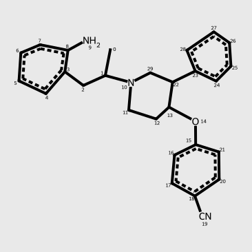 CC(Cc1ccccc1N)N1CCC(Oc2ccc(C#N)cc2)C(c2ccccc2)C1